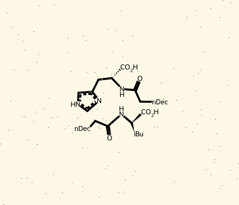 CCCCCCCCCCCC(=O)N[C@@H](C(=O)O)[C@H](C)CC.CCCCCCCCCCCC(=O)N[C@H](Cc1c[nH]cn1)C(=O)O